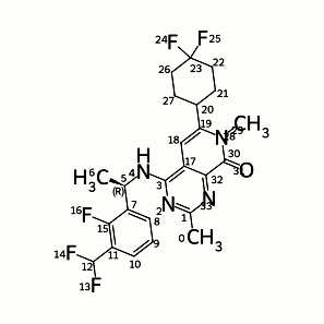 Cc1nc(N[C@H](C)c2cccc(C(F)F)c2F)c2cc(C3CCC(F)(F)CC3)n(C)c(=O)c2n1